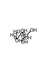 CC(C)(CO)CO.O=C(O)CCCCC(=O)O.OCCCCO.OCCO